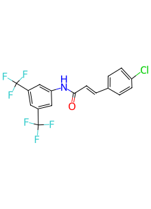 O=C(C=Cc1ccc(Cl)cc1)Nc1cc(C(F)(F)F)cc(C(F)(F)F)c1